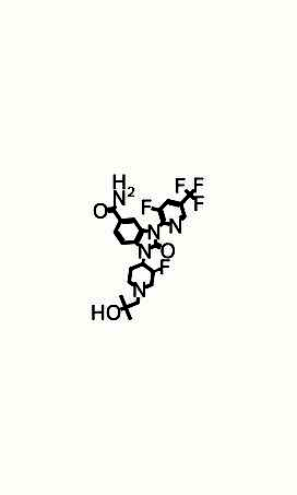 CC(C)(O)CN1CC[C@@H](n2c(=O)n(-c3ncc(C(F)(F)F)cc3F)c3cc(C(N)=O)ccc32)[C@@H](F)C1